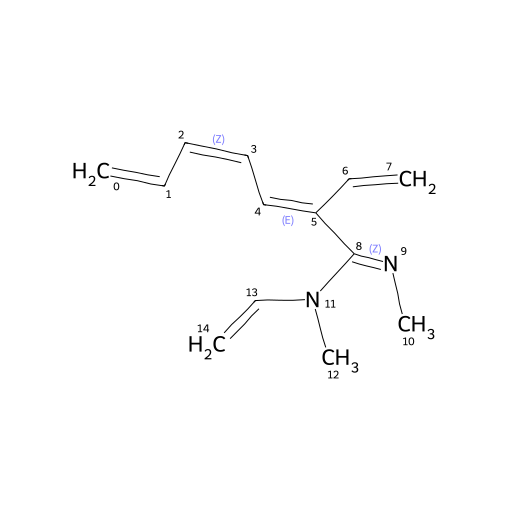 C=C\C=C/C=C(C=C)/C(=N/C)N(C)C=C